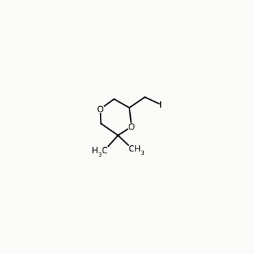 CC1(C)COCC(CI)O1